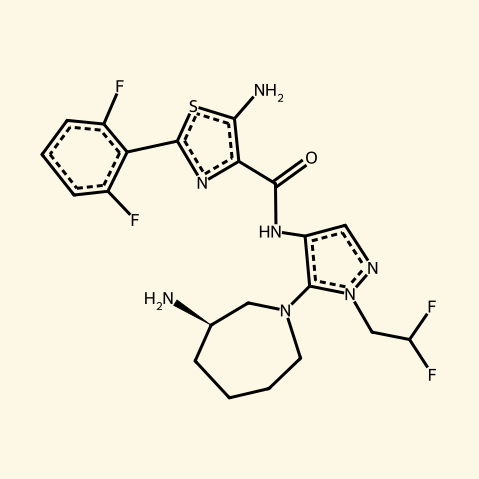 Nc1sc(-c2c(F)cccc2F)nc1C(=O)Nc1cnn(CC(F)F)c1N1CCCC[C@@H](N)C1